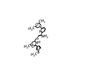 COCC(CS/C=C(\N)c1cccc(N2CC(C)OC(C)C2)n1)NC(=O)c1ccn(SC)c1